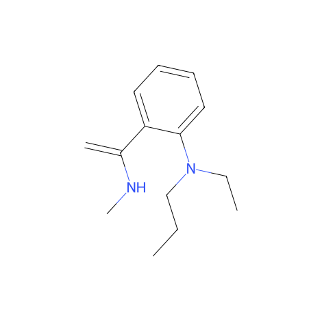 C=C(NC)c1ccccc1N(CC)CCC